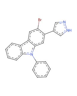 Brc1cc2c3ccccc3n(-c3ccccc3)c2cc1-c1cn[nH]c1